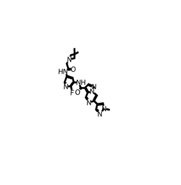 Cn1cc(-c2cn3ncc(C(=O)Nc4cc(NC(=O)CN5CC(C)(C)C5)cnc4F)c3cn2)cn1